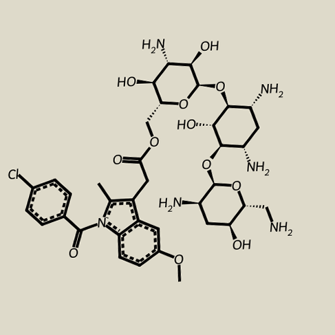 COc1ccc2c(c1)c(CC(=O)OC[C@H]1O[C@H](O[C@@H]3[C@@H](O)[C@H](O[C@H]4O[C@H](CN)[C@@H](O)C[C@H]4N)[C@@H](N)C[C@H]3N)[C@H](O)[C@@H](N)[C@@H]1O)c(C)n2C(=O)c1ccc(Cl)cc1